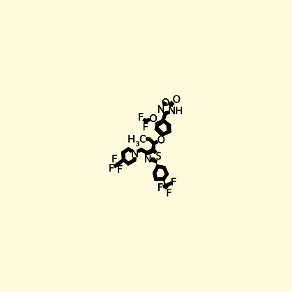 CCC(Oc1ccc(-c2noc(=O)[nH]2)c(OC(F)F)c1)c1sc([C@H]2CC[C@H](C(F)(F)F)CC2)nc1CN1CCC(C(F)(F)F)CC1